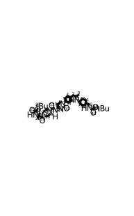 CC(Cc1ccc(-n2ccc(NC(=O)N3CCN(C(=O)C(C)(C)NC(=O)OC(C)(C)C)CC3)nc2=O)cc1)NC1CCC(CNC(=O)OC(C)(C)C)CC1